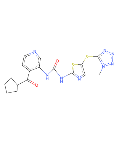 Cn1nnnc1Sc1cnc(NC(=O)Nc2cnccc2C(=O)C2CCCC2)s1